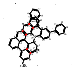 CC(C)(C)c1cc(-c2cccc3cccc(C4=CC=CCC4N(c4ccc(-c5ccccc5)cc4-c4ccccc4)c4cccc5c4oc4ccccc45)c23)cc(C(C)(C)C)c1